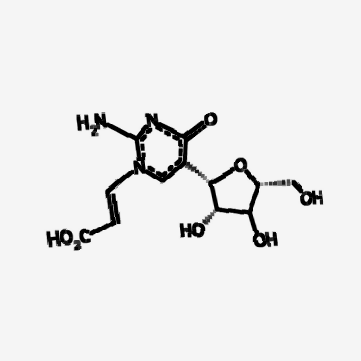 Nc1nc(=O)c([C@@H]2O[C@H](CO)C(O)[C@@H]2O)cn1/C=C/C(=O)O